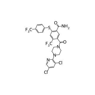 NC(=O)c1cc(C(=O)N2CCN(c3ncc(Cl)cc3Cl)CC2)c(C(F)(F)F)cc1Sc1ccc(C(F)(F)F)cc1